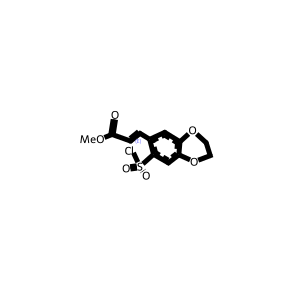 COC(=O)/C=C/c1cc2c(cc1S(=O)(=O)Cl)OCCO2